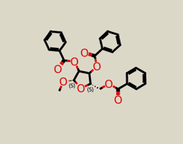 CO[C@H]1O[C@@H](COC(=O)c2ccccc2)C(OC(=O)c2ccccc2)C1OC(=O)c1ccccc1